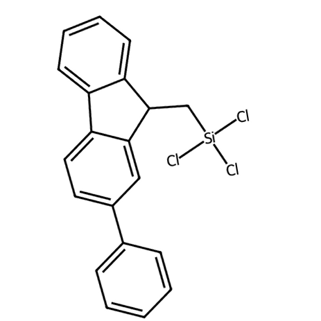 Cl[Si](Cl)(Cl)CC1c2ccccc2-c2ccc(-c3ccccc3)cc21